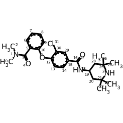 CN(C)C(=O)c1ccccc1Oc1ccc(C(=O)NC2CC(C)(C)NC(C)(C)C2)cc1Cl